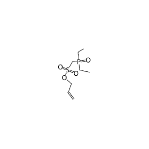 C=CCOS(=O)(=O)CP(=O)(CC)CC